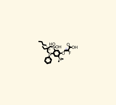 CCCC[C@@]1(CC)CN(c2ccccc2)c2cc(N(C)C)c(O/C=C(\F)C(=O)O)cc2S(O)(O)C1